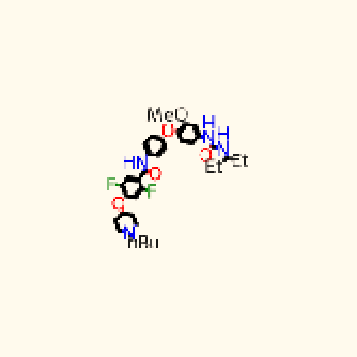 CCCCN1CCC(Oc2cc(F)c(C(=O)Nc3ccc(Oc4ccc(NC(=O)NC(CC)CC)cc4OC)cc3)cc2F)CC1